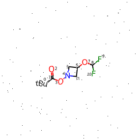 CC(C)(C)C(=O)ON1CC(OC(F)F)C1